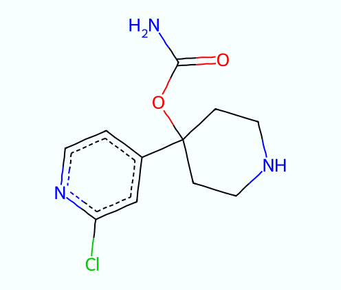 NC(=O)OC1(c2ccnc(Cl)c2)CCNCC1